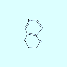 [c]1cc2c(cn1)SCCO2